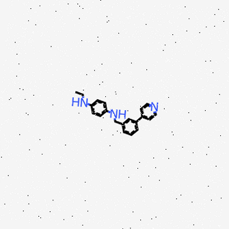 CCNc1ccc(NCc2cccc(-c3ccncc3)c2)cc1